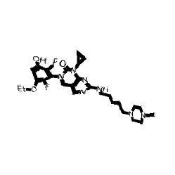 CCOc1cc(O)c(F)c(N2Cc3cnc(NCCCCCN4CCN(C)CC4)nc3N(C3CC3)C2=O)c1F